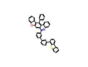 c1ccc(-c2c3c(cc4c(-c5cccc(-c6cccc(-c7cccc8c7sc7ccccc78)c6)c5)nc5ccccc5c24)oc2ccccc23)cc1